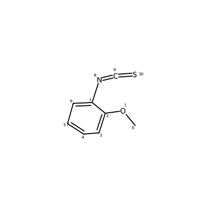 COc1cc[c]cc1N=C=S